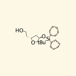 CC(C)(C)[Si](O[C@H]1CO[C@H](CCO)C1)(c1ccccc1)c1ccccc1